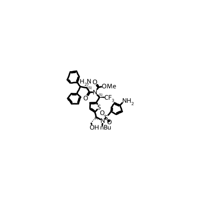 CCCCN([C@H](CO)c1ccc([C@@H](N(C(=O)OC)C(=O)[C@@H](N)C(c2ccccc2)c2ccccc2)C(F)(F)F)s1)S(=O)(=O)c1ccc(N)cc1